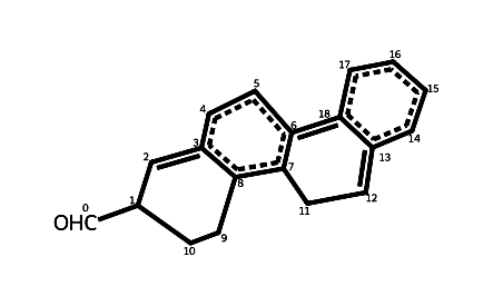 O=CC1C=c2ccc3c(c2CC1)CC=c1ccccc1=3